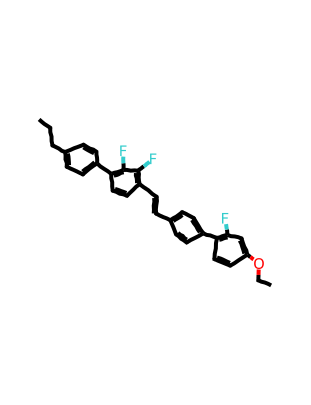 CCCc1ccc(-c2ccc(/C=C/c3ccc(-c4ccc(OCC)cc4F)cc3)c(F)c2F)cc1